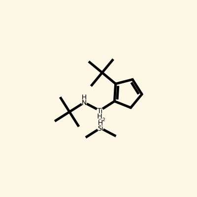 C[SiH](C)[TiH2]([NH]C(C)(C)C)[C]1=C(C(C)(C)C)C=CC1